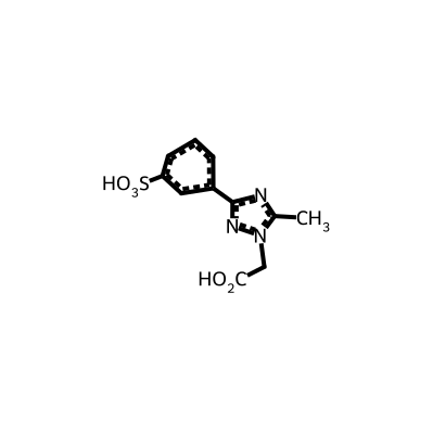 Cc1nc(-c2cccc(S(=O)(=O)O)c2)nn1CC(=O)O